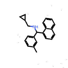 Cc1cccc(C(NCC2CC2)c2cccc3ccccc23)c1